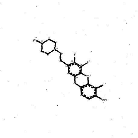 CCCc1ccc2c(c1F)Oc1c(cc(CCC3CCC(CCC)CC3)c(F)c1F)C2